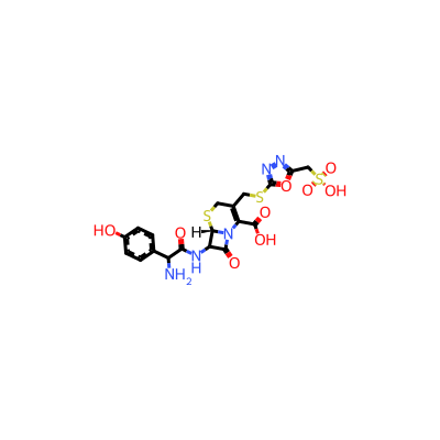 NC(C(=O)NC1C(=O)N2C(C(=O)O)=C(CSc3nnc(CS(=O)(=O)O)o3)CS[C@@H]12)c1ccc(O)cc1